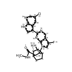 CNC(=O)[C@@H]1C2CCC(CC2)[C@H]1n1cc(F)c2cnc(-c3c[nH]c4ncc(Cl)cc34)nc21